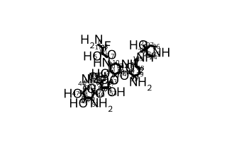 NC[C@@H](F)[C@H](O)C(=O)N[C@@H]1C[C@H](N)[C@@H](O[C@H]2OC(CNCC3(O)CCNCC3)=CC[C@H]2N)[C@H](O[C@@H]2O[C@H](CO)[C@@H](O[C@H]3O[C@@H](CN)[C@@H](O)[C@H](O)[C@H]3N)[C@H]2O)[C@H]1O